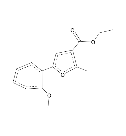 CCOC(=O)c1cc(-c2ccccc2OC)oc1C